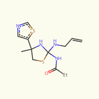 C=CCNC1(NC(=O)CC)NC(C)(c2cncs2)CS1